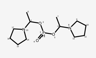 CC(O[PH](=O)OC(C)N1CCCC1)N1CCCC1